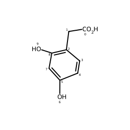 O=C(O)Cc1ccc(O)cc1O